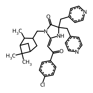 CC1C(CN2C(=O)C(Cc3ccncc3)(Cc3ccncc3)NC2=CC(=O)c2ccc(Cl)cc2)CC2CC1C2(C)C